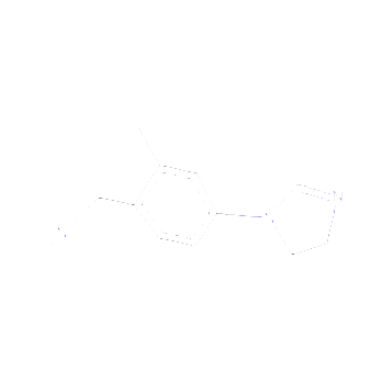 Cc1cc(N2C=NCC2)ccc1CN